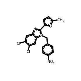 Cc1ccc(-c2nc3cc(Cl)c(Cl)cc3n2Cc2ccc([N+](=O)[O-])cc2)o1